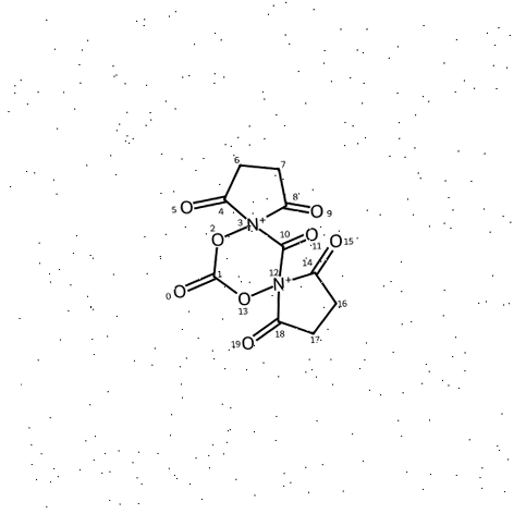 O=C1O[N+]2(C(=O)CCC2=O)C(=O)[N+]2(O1)C(=O)CCC2=O